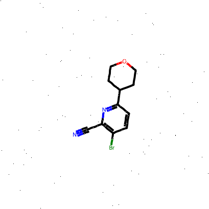 N#Cc1nc(C2CCOCC2)ccc1Br